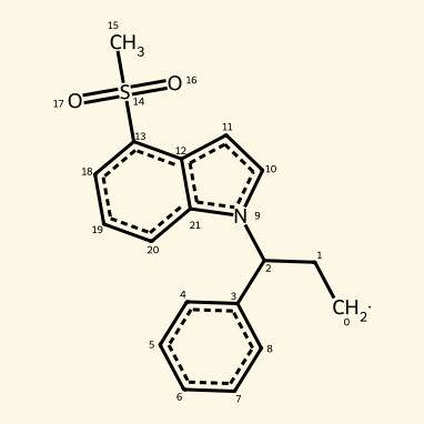 [CH2]CC(c1ccccc1)n1ccc2c(S(C)(=O)=O)cccc21